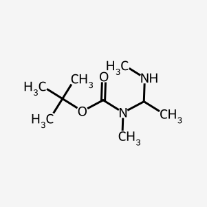 CNC(C)N(C)C(=O)OC(C)(C)C